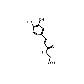 O=C(O)CNC(=O)C=Cc1ccc(O)c(O)c1